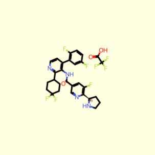 O=C(Nc1c(-c2cc(F)ccc2F)ccnc1C1CCC(F)(F)CC1)c1cnc([C@H]2CCCN2)c(F)c1.O=C(O)C(F)(F)F